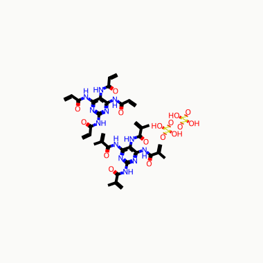 C=C(C)C(=O)Nc1nc(NC(=O)C(=C)C)c(NC(=O)C(=C)C)c(NC(=O)C(=C)C)n1.C=CC(=O)Nc1nc(NC(=O)C=C)c(NC(=O)C=C)c(NC(=O)C=C)n1.O=S(=O)(O)O.O=S(=O)(O)O